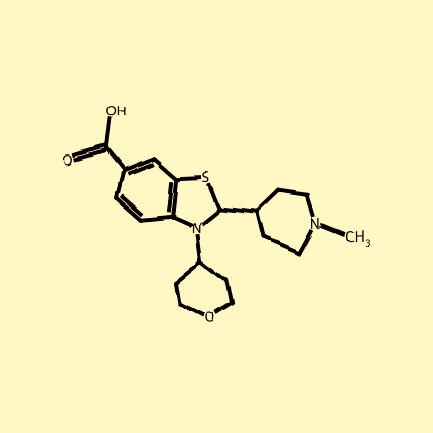 CN1CCC(C2Sc3cc(C(=O)O)ccc3N2C2CCOCC2)CC1